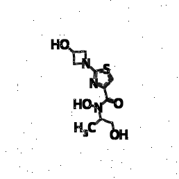 CC(CO)N(O)C(=O)c1csc(N2CC(O)C2)n1